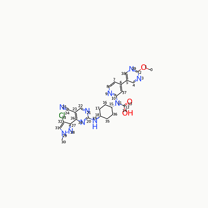 COc1ncc(-c2ccnc(N(C(=O)O)[C@H]3CC[C@H](Nc4ncc(C#N)c(-c5nn(C)cc5Cl)n4)CC3)c2)cn1